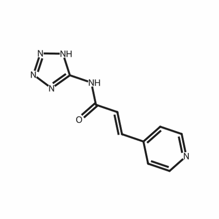 O=C(C=Cc1ccncc1)Nc1nnn[nH]1